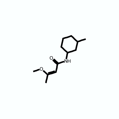 CO/C(C)=C\C(=O)NC1CCCC(C)C1